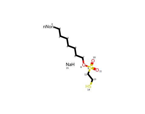 CCCCCCCCCCCCCCCCOS(=O)(=O)CCS.[NaH]